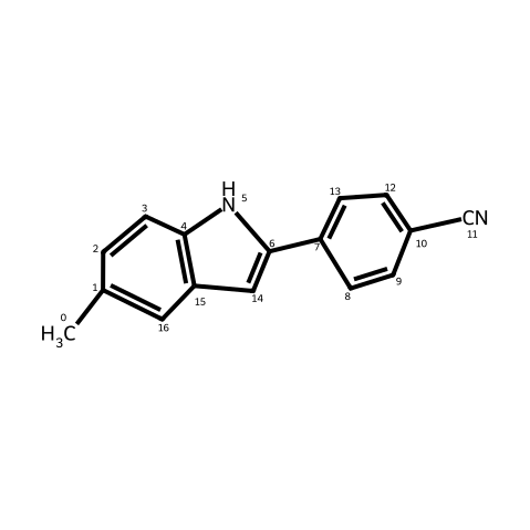 Cc1ccc2[nH]c(-c3ccc(C#N)cc3)cc2c1